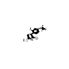 COc1cc(OC(F)(F)F)ccc1-c1ncc(N)nc1Cl